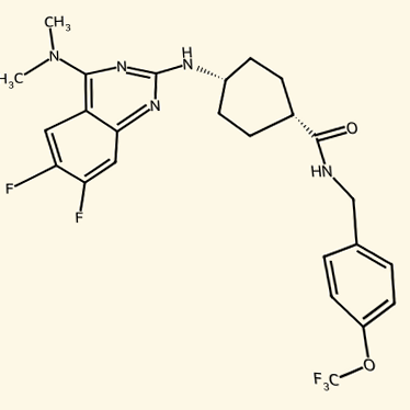 CN(C)c1nc(N[C@H]2CC[C@@H](C(=O)NCc3ccc(OC(F)(F)F)cc3)CC2)nc2cc(F)c(F)cc12